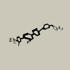 C=CC1CCC(c2ccc(-c3ccc(-c4ccc(OCC)c(F)c4)c(F)c3)cc2)CC1